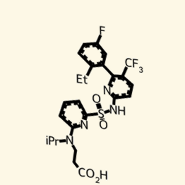 CCc1ccc(F)cc1-c1nc(NS(=O)(=O)c2cccc(N(CCC(=O)O)C(C)C)n2)ccc1C(F)(F)F